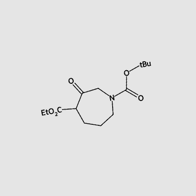 CCOC(=O)C1CCCN(C(=O)OC(C)(C)C)CC1=O